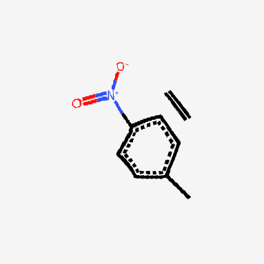 C=C.Cc1ccc([N+](=O)[O-])cc1